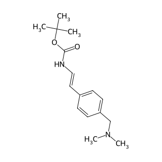 CN(C)Cc1ccc(C=CNC(=O)OC(C)(C)C)cc1